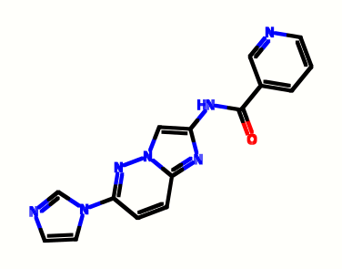 O=C(Nc1cn2nc(-n3ccnc3)ccc2n1)c1cccnc1